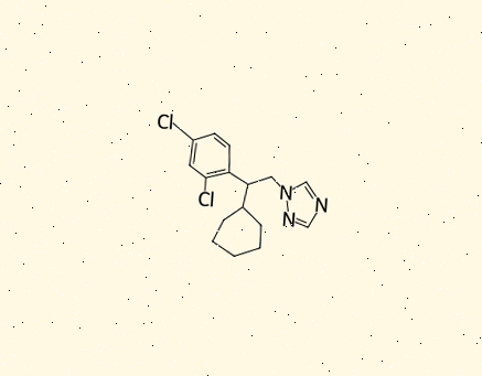 Clc1ccc(C(Cn2cncn2)C2CCCCC2)c(Cl)c1